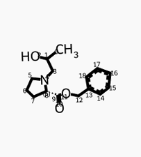 CC(O)CN1CCC[C@H]1C(=O)OCc1ccccc1